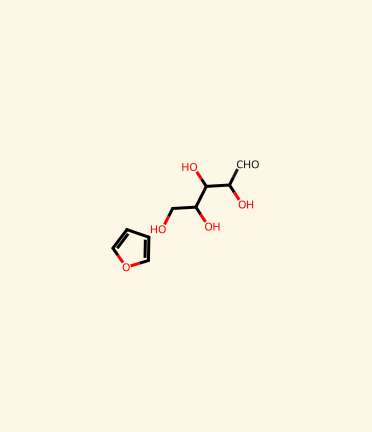 O=CC(O)C(O)C(O)CO.c1ccoc1